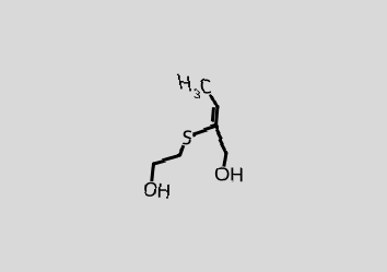 CC=C(CO)SCCO